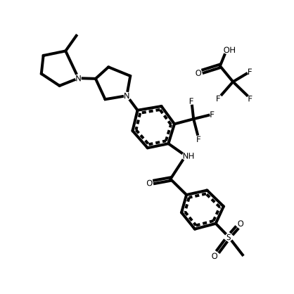 CC1CCCN1C1CCN(c2ccc(NC(=O)c3ccc(S(C)(=O)=O)cc3)c(C(F)(F)F)c2)C1.O=C(O)C(F)(F)F